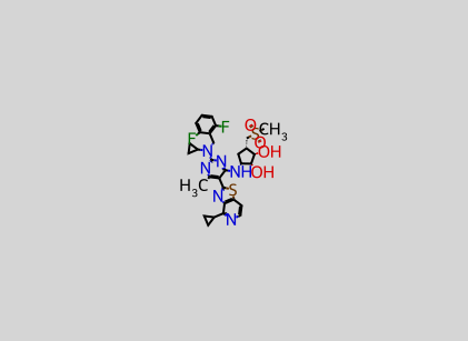 Cc1nc(N(Cc2c(F)cccc2F)C2CC2)nc(N[C@@H]2C[C@H](CS(C)(=O)=O)[C@@H](O)[C@H]2O)c1-c1nc2c(C3CC3)nccc2s1